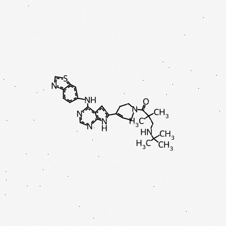 CC(C)(C)NCC(C)(C)C(=O)N1CC=C(c2cc3c(Nc4ccc5ncsc5c4)ncnc3[nH]2)CC1